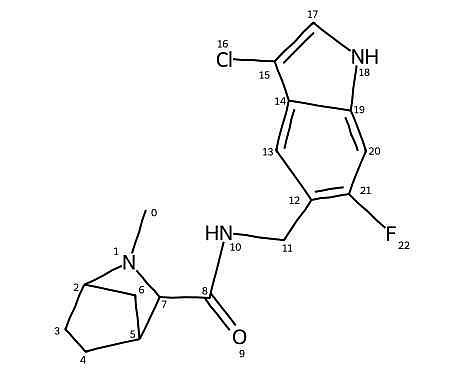 CN1C2CCC(C2)C1C(=O)NCc1cc2c(Cl)c[nH]c2cc1F